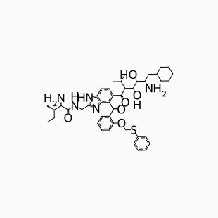 CC[C@@H](C)[C@@H](N)C(=O)NCc1nc2c(C(=O)c3ccccc3OCSc3ccccc3)c(C(=O)C(C(C)C)C(O)[C@H](O)[C@@H](N)CC3CCCCC3)ccc2[nH]1